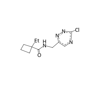 CCC1(C(=O)NCc2cnc(Cl)nn2)CCC1